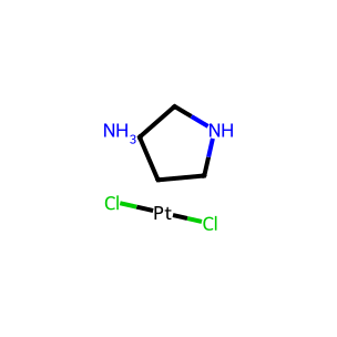 C1CCNC1.N.[Cl][Pt][Cl]